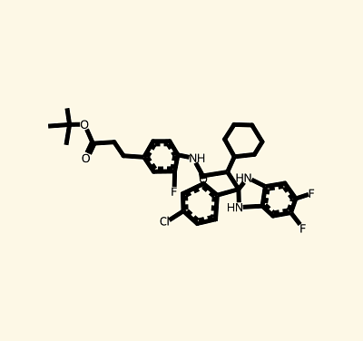 CC(C)(C)OC(=O)CCc1ccc(NC(=O)C(C2CCCCC2)C2(c3ccc(Cl)cc3)Nc3cc(F)c(F)cc3N2)c(F)c1